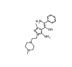 Cc1nn(CCN2CCN(C)CC2)c(N)c1/C(O)=C(\N)c1ccccc1